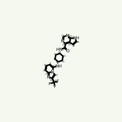 O=C(N[C@H]1CC[C@@H](Nc2cccc3nc(C(F)(F)F)cn23)CC1)c1ncnc2[nH]ccc12